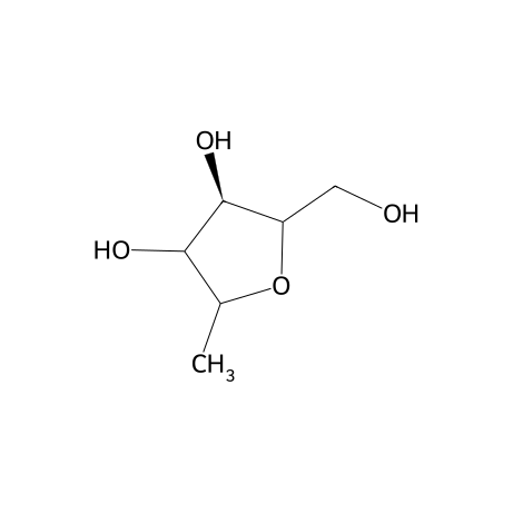 CC1OC(CO)[C@H](O)C1O